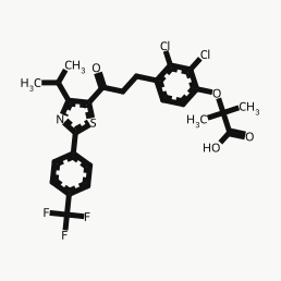 CC(C)c1nc(-c2ccc(C(F)(F)F)cc2)sc1C(=O)CCc1ccc(OC(C)(C)C(=O)O)c(Cl)c1Cl